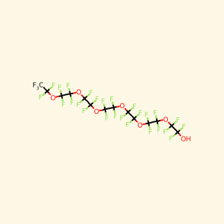 OC(F)(F)C(F)(F)OC(F)(F)C(F)(F)OC(F)(F)C(F)(F)OC(F)(F)C(F)(F)OC(F)(F)C(F)(F)OC(F)(F)C(F)(F)OC(F)(F)C(F)(F)F